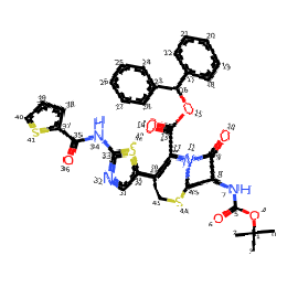 CC(C)(C)OC(=O)NC1C(=O)N2C(C(=O)OC(c3ccccc3)c3ccccc3)=C(c3cnc(NC(=O)c4cccs4)s3)CSC12